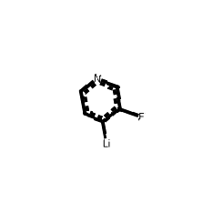 [Li][c]1ccncc1F